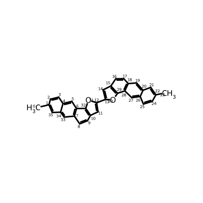 Cc1ccc2cc3c(ccc4cc(-c5cc6ccc7cc8cc(C)ccc8cc7c6o5)oc43)cc2c1